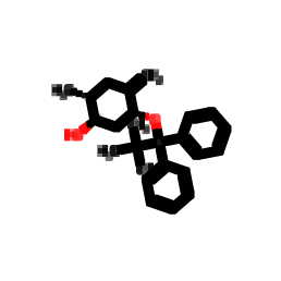 C=C1C[C@@H](C)[C@H](O)C[C@H]1O[Si](c1ccccc1)(c1ccccc1)C(C)(C)C